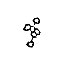 c1ccc(-c2cc3c4c(cccc4n2)N(c2ccccc2)c2ccccc2-3)cc1